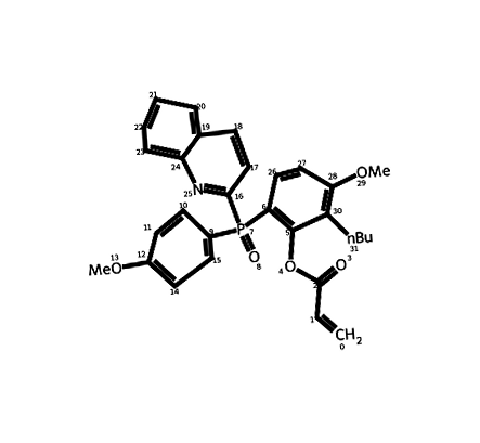 C=CC(=O)Oc1c(P(=O)(c2ccc(OC)cc2)c2ccc3ccccc3n2)ccc(OC)c1CCCC